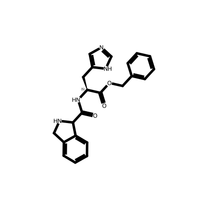 O=C(N[C@@H](Cc1cnc[nH]1)C(=O)OCc1ccccc1)C1NCc2ccccc21